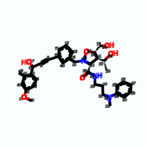 COc1ccc(C(O)C#Cc2cccc(CN3O[C@H](CO)[C@H]([C@@H](C)O)[C@@H]3C(=O)NCCCN(C)c3ccccc3)c2)c(C)c1